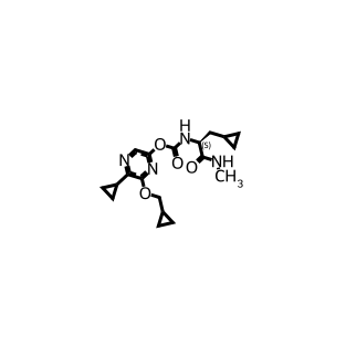 CNC(=O)[C@H](CC1CC1)NC(=O)Oc1cnc(C2CC2)c(OCC2CC2)n1